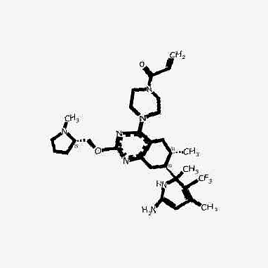 C=CC(=O)N1CCN(c2nc(OC[C@@H]3CCCN3C)nc3c2C[C@H](C)[C@@H](C2(C)NC(N)=CC(C)=C2C(F)(F)F)C3)CC1